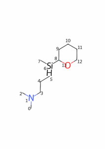 CN(C)CCC[SiH](C)C1CCCCO1